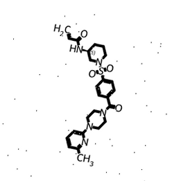 C=CC(=O)N[C@H]1CCCN(S(=O)(=O)c2ccc(C(=O)N3CCN(c4cccc(C)n4)CC3)cc2)C1